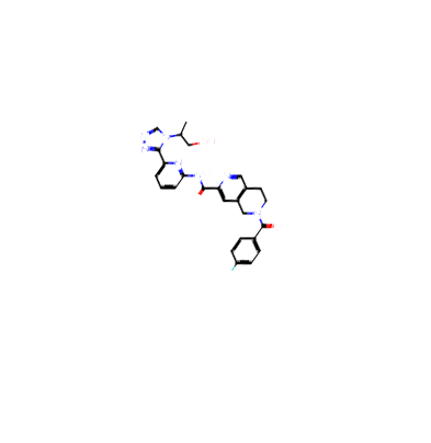 CC(CO)n1cnnc1-c1cccc(NC(=O)c2cc3c(cn2)CCN(C(=O)c2ccc(F)cc2)C3)n1